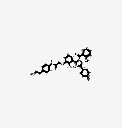 COc1c(OCC(=O)Nc2ccc(CCO)cc2)cccc1C1SC(c2ccc(F)cc2)=NN1C(=O)c1ccccc1O